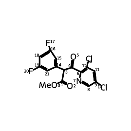 COC(=O)C(C(=O)c1ncc(Cl)cc1Cl)c1cc(F)cc(F)c1